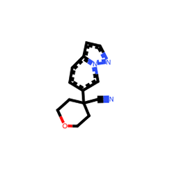 N#CC1(c2ccc3ccnn3c2)CCOCC1